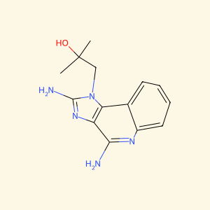 CC(C)(O)Cn1c(N)nc2c(N)nc3ccccc3c21